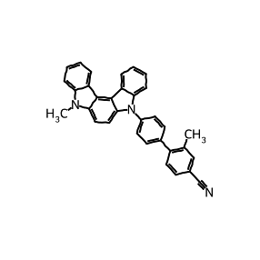 Cc1cc(C#N)ccc1-c1ccc(-n2c3ccccc3c3c4c5ccccc5n(C)c4ccc32)cc1